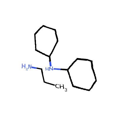 C1CCC(NC2CCCCC2)CC1.CCCN